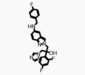 OC(Cn1cncn1)(Cn1cc2cc(NCc3ccc(F)cc3)ccc2n1)c1ccc(F)cc1F